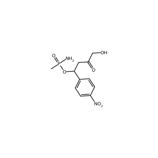 CP(N)(=O)OC(CC(=O)CO)c1ccc([N+](=O)[O-])cc1